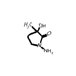 CC1(O)CCN(N)C1=O